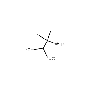 CCCCCCCC[C](CCCCCCCC)C(C)(C)CCCCCCC